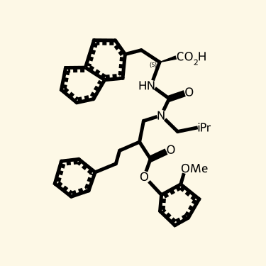 COc1ccccc1OC(=O)C(CCc1ccccc1)CN(CC(C)C)C(=O)N[C@@H](Cc1ccc2ccccc2c1)C(=O)O